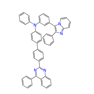 c1ccc(-c2nc3ccccn3c2-c2cccc(N(c3ccccc3)c3ccc(-c4ccc(-c5nc(-c6ccccc6)c6ccccc6n5)cc4)cc3)c2)cc1